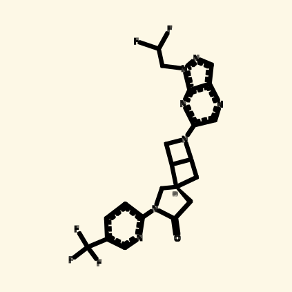 O=C1C[C@@]2(CC3C2CN3c2cnc3cnn(CC(F)F)c3n2)CN1c1ccc(C(F)(F)F)cn1